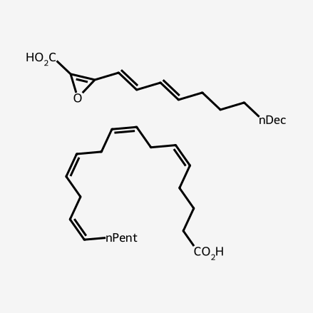 CCCCC/C=C\C/C=C\C/C=C\C/C=C\CCCC(=O)O.CCCCCCCCCCCCCC=CC=CC1=C(C(=O)O)O1